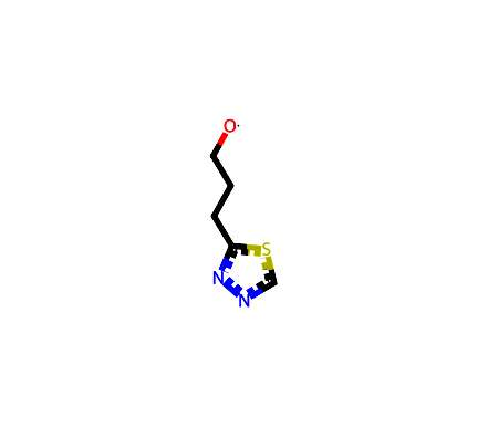 [O]CCCc1nncs1